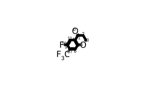 O=C1CCOc2cc(C(F)(F)F)c(F)cc21